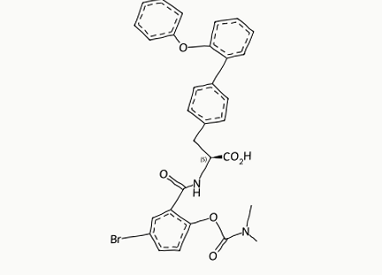 CN(C)C(=O)Oc1ccc(Br)cc1C(=O)N[C@@H](Cc1ccc(-c2ccccc2Oc2ccccc2)cc1)C(=O)O